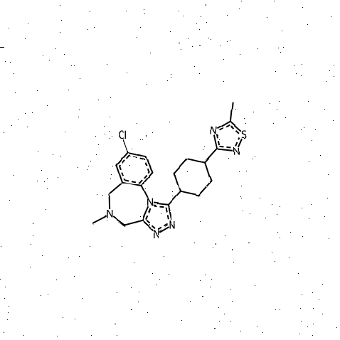 Cc1nc(C2CCC(c3nnc4n3-c3ccc(Cl)cc3CN(C)C4)CC2)ns1